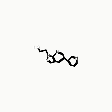 OCCn1ncc2cc(-c3cccnc3)cnc21